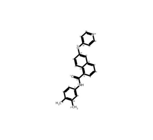 Cc1ccc(NC(=O)c2cccc3cc(Oc4ccncc4)ccc23)cc1C